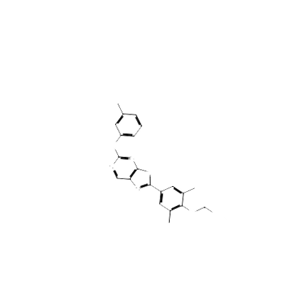 Cc1cccc(Oc2ncc3nc(-c4cc(C)c(OCC(=O)O)c(C)c4)oc3n2)c1